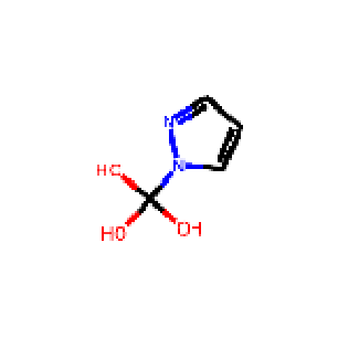 OC(O)(O)n1cccn1